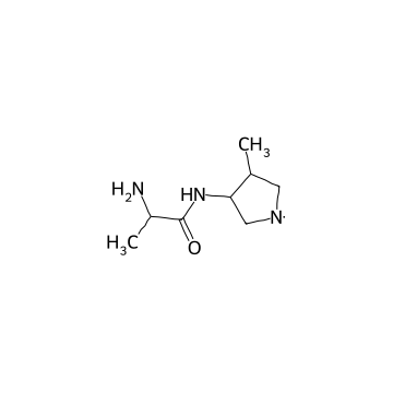 CC(N)C(=O)NC1C[N]CC1C